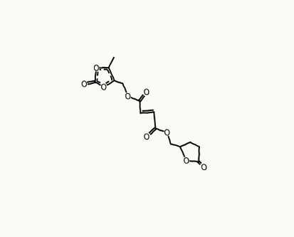 Cc1oc(=O)oc1COC(=O)/C=C/C(=O)OCC1CCC(=O)O1